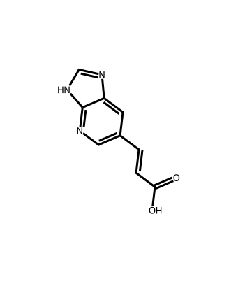 O=C(O)C=Cc1cnc2[nH]cnc2c1